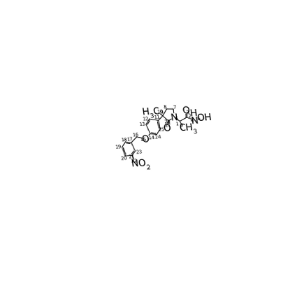 CC(C(=O)NO)N1CCC(C)(c2ccc(OCc3cccc([N+](=O)[O-])c3)cc2)C1=O